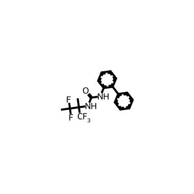 CC(F)(F)C(C)(NC(=O)Nc1ccccc1-c1ccccc1)C(F)(F)F